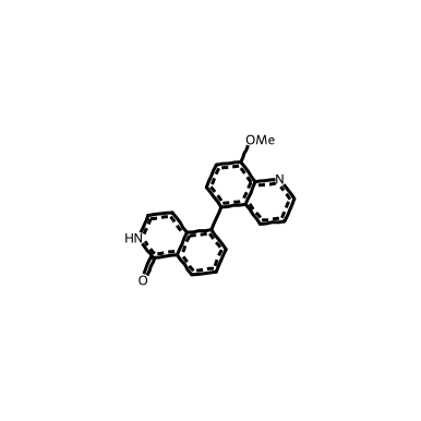 COc1ccc(-c2cccc3c(=O)[nH]ccc23)c2cccnc12